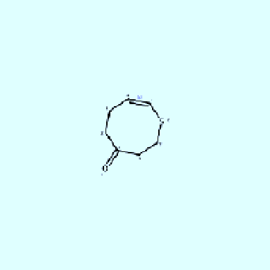 O=C1CC/C=C\SCC1